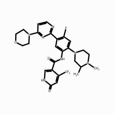 CC1CN(c2cc(F)c(-c3nccc(N4CCOCC4)n3)cc2NC(=O)c2c[nH]c(=O)cc2C(F)(F)F)CCN1C